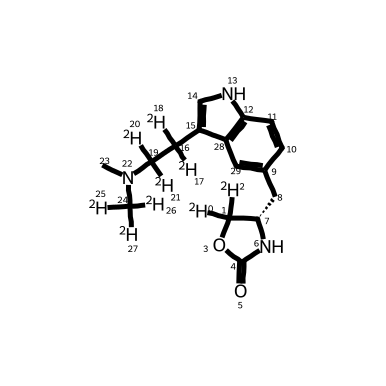 [2H]C1([2H])OC(=O)N[C@H]1Cc1ccc2[nH]cc(C([2H])([2H])C([2H])([2H])N(C)C([2H])([2H])[2H])c2c1